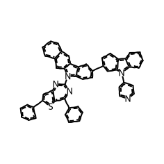 c1ccc(-c2cc3nc(-n4c5ccc(-c6ccc7c8ccccc8n(-c8ccncc8)c7c6)cc5c5cc6ccccc6cc54)nc(-c4ccccc4)c3s2)cc1